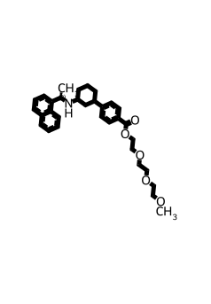 COCCOCCOCCOC(=O)c1ccc(C2CCCC(N[C@H](C)c3cccc4ccccc34)C2)cc1